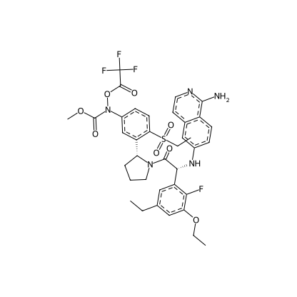 CCOc1cc(CC)cc([C@@H](Nc2ccc3c(N)nccc3c2)C(=O)N2CCC[C@@H]2c2cc(N(OC(=O)C(F)(F)F)C(=O)OC)ccc2S(=O)(=O)CC)c1F